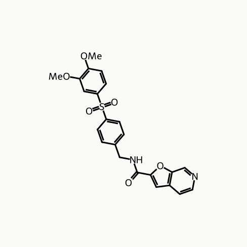 COc1ccc(S(=O)(=O)c2ccc(CNC(=O)c3cc4ccncc4o3)cc2)cc1OC